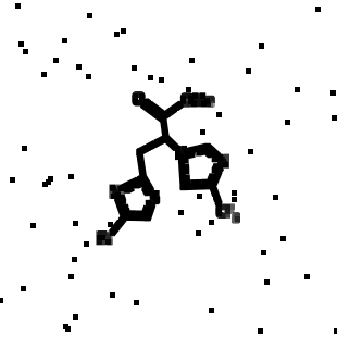 CCc1csc(CC(C(=O)OC)n2cnc(C(F)(F)F)c2)n1